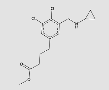 COC(=O)CCCc1cc(Cl)c(Cl)c(CNC2CC2)c1